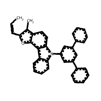 C/C=C\c1oc2c(ccc3c2c2ccccc2n3-c2cc(-c3ccccc3)cc(-c3ccccc3)c2)c1C